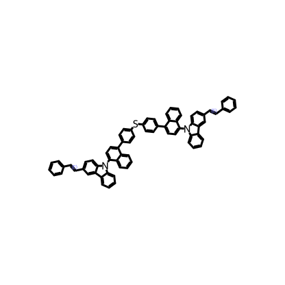 C(=C\c1ccc2c(c1)c1ccccc1n2-c1ccc(-c2ccc(Sc3ccc(-c4ccc(-n5c6ccccc6c6cc(/C=C/c7ccccc7)ccc65)c5ccccc45)cc3)cc2)c2ccccc12)/c1ccccc1